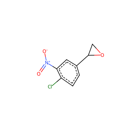 O=[N+]([O-])c1cc(C2CO2)ccc1Cl